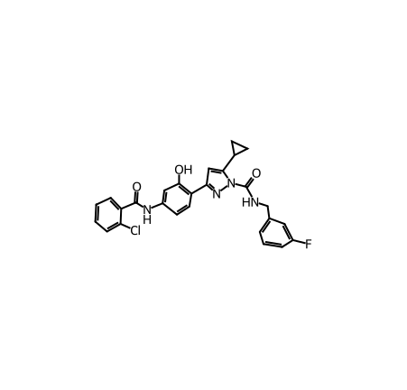 O=C(Nc1ccc(-c2cc(C3CC3)n(C(=O)NCc3cccc(F)c3)n2)c(O)c1)c1ccccc1Cl